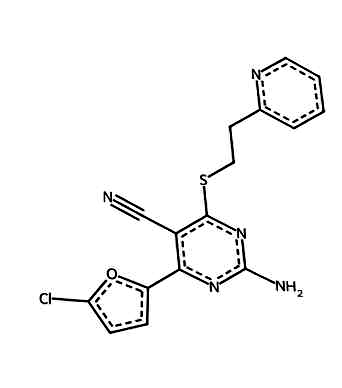 N#Cc1c(SCCc2ccccn2)nc(N)nc1-c1ccc(Cl)o1